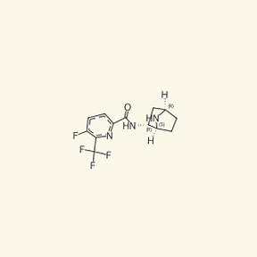 O=C(N[C@@H]1C[C@H]2CC[C@@H]1N2)c1ccc(F)c(C(F)(F)F)n1